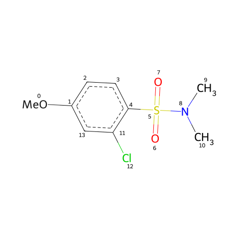 COc1ccc(S(=O)(=O)N(C)C)c(Cl)c1